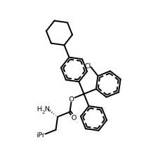 CC(C)C[C@H](N)C(=O)OC(c1ccccc1)(c1ccc(C2CCCCC2)cc1)c1ccccc1Cl